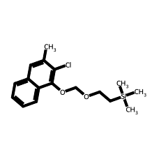 Cc1cc2ccccc2c(OCOCC[Si](C)(C)C)c1Cl